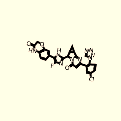 O=C1COc2cc(-c3[nH]c(C4C5CC5c5nc(-c6cc(Cl)ccc6-n6cnnn6)cc(=O)n54)nc3F)ccc2N1